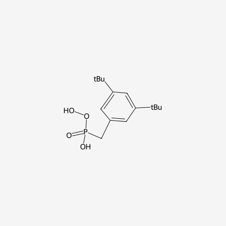 CC(C)(C)c1cc(CP(=O)(O)OO)cc(C(C)(C)C)c1